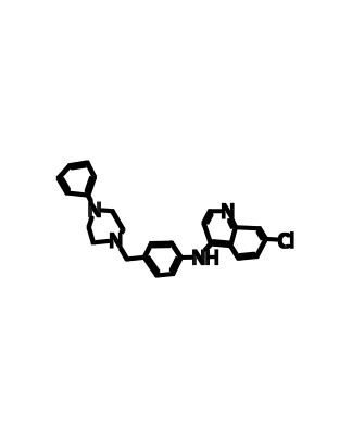 Clc1ccc2c(Nc3ccc(CN4CCN(c5ccccc5)CC4)cc3)ccnc2c1